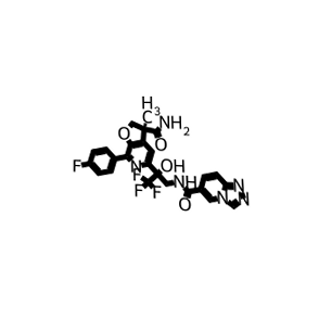 C[C@]1(C(N)=O)COc2c1cc(C(O)(CNC(=O)c1ccc3nncn3c1)C(F)(F)F)nc2-c1ccc(F)cc1